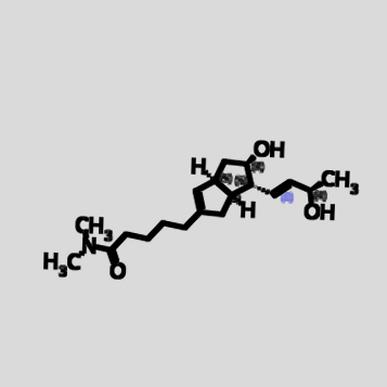 C[C@@H](O)/C=C/[C@@H]1[C@H]2CC(CCCCC(=O)N(C)C)=C[C@H]2C[C@H]1O